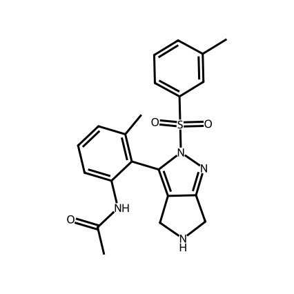 CC(=O)Nc1cccc(C)c1-c1c2c(nn1S(=O)(=O)c1cccc(C)c1)CNC2